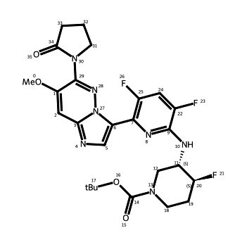 COc1cc2ncc(-c3nc(N[C@H]4CN(C(=O)OC(C)(C)C)CC[C@@H]4F)c(F)cc3F)n2nc1N1CCCC1=O